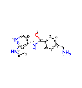 NCc1ccc(C(=O)Nc2ccnc3c2CCN3)cc1